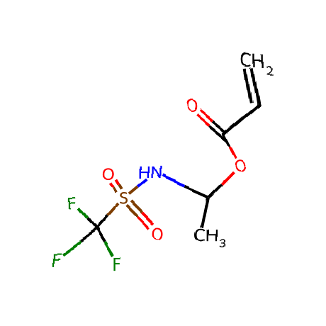 C=CC(=O)OC(C)NS(=O)(=O)C(F)(F)F